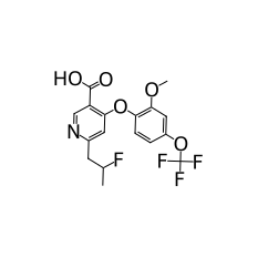 COc1cc(OC(F)(F)F)ccc1Oc1cc(CC(C)F)ncc1C(=O)O